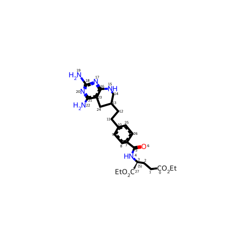 CCOC(=O)CC[C@H](NC(=O)c1ccc(CCC2CNc3nc(N)nc(N)c3C2)cc1)C(=O)OCC